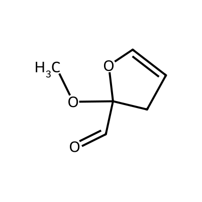 COC1(C=O)CC=CO1